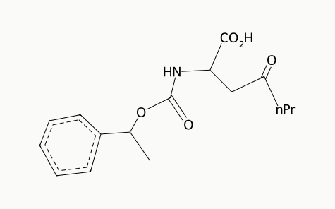 CCCC(=O)CC(NC(=O)OC(C)c1ccccc1)C(=O)O